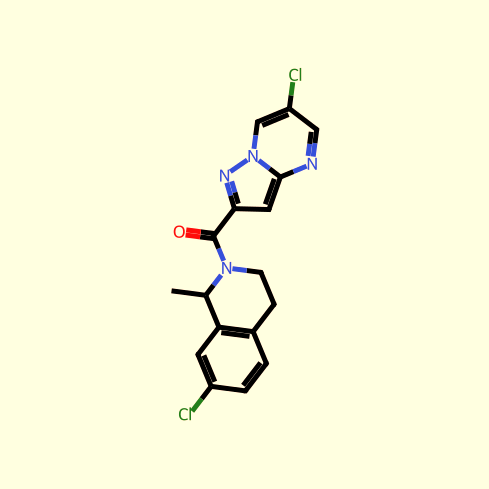 CC1c2cc(Cl)ccc2CCN1C(=O)c1cc2ncc(Cl)cn2n1